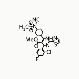 COC(=O)C1=C(C2CCC(N(CC#N)S(C)(=O)=O)CC2)NC(c2nccs2)=NC1c1ccc(F)cc1Cl